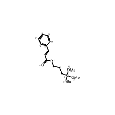 CCCC[Si](CCCOC(=O)C=Cc1ccccc1)(OC)OC